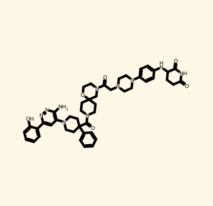 Nc1nnc(-c2ccccc2O)cc1N1CCC(C(=O)N2CCC3(CC2)CN(C(=O)CN2CCN(c4ccc(NC5CCC(=O)NC5=O)cc4)CC2)CCO3)(c2ccccc2)CC1